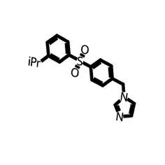 CC(C)c1cccc(S(=O)(=O)c2ccc(Cn3ccnc3)cc2)c1